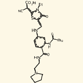 CCn1c(=C(C#N)C(=O)O)sc(=CNc2ccc(C(=O)NCCN3CCCC3)c(NC(=O)C(C)(C)C)c2)c1=O